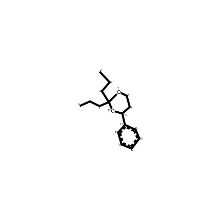 CCCC1(CCC)OC[CH]C(c2ccccc2)O1